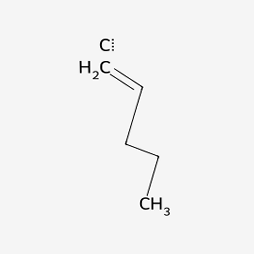 C=CCCC.[C]